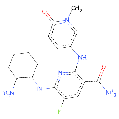 Cn1cc(Nc2nc(NC3CCCCC3N)c(F)cc2C(N)=O)ccc1=O